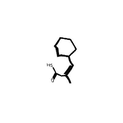 CC(=CC1CCCCC1)C(=O)S